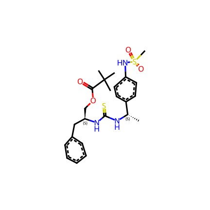 C[C@H](NC(=S)N[C@H](COC(=O)C(C)(C)C)Cc1ccccc1)c1ccc(NS(C)(=O)=O)cc1